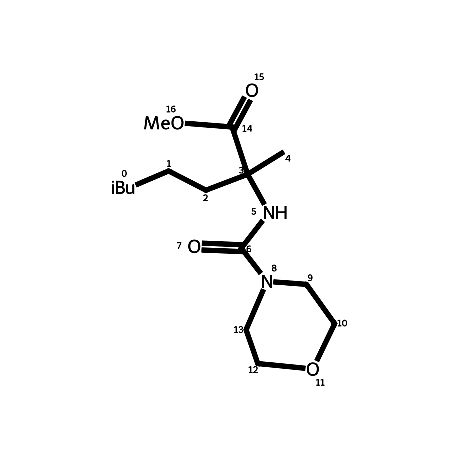 CCC(C)CCC(C)(NC(=O)N1CCOCC1)C(=O)OC